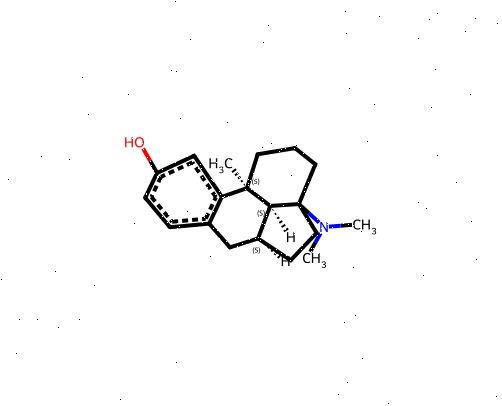 CN(C)C12CCC[C@]3(C)c4cc(O)ccc4C[C@H](CC1)[C@H]23